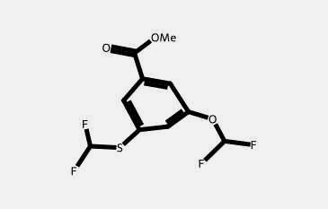 COC(=O)c1cc(OC(F)F)cc(SC(F)F)c1